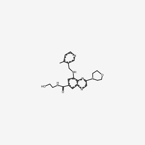 Cc1ccncc1CNc1cc(C(=O)NCCO)cc2ncc(N3CCOCC3)nc12